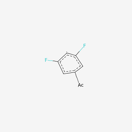 CC(=O)c1cc(F)[c]c(F)c1